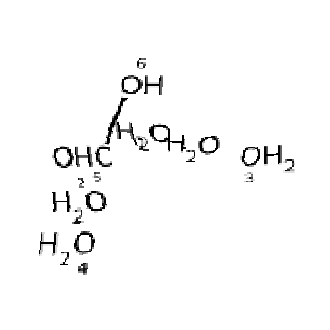 O.O.O.O.O.O=CO